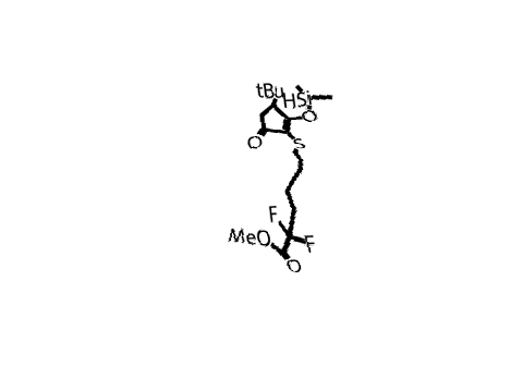 COC(=O)C(F)(F)CCCCSC1=C(O[SiH](C)C)C(C(C)(C)C)CC1=O